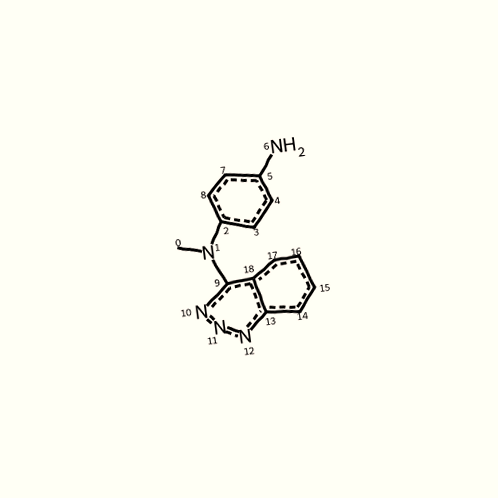 CN(c1ccc(N)cc1)c1nnnc2ccccc12